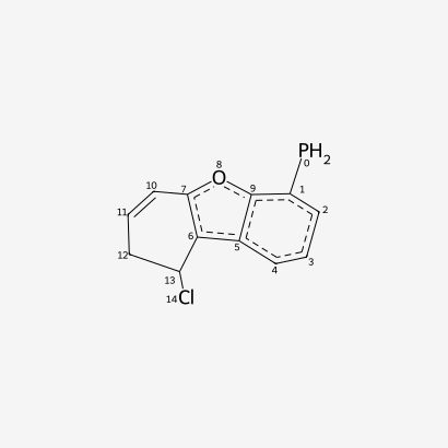 Pc1cccc2c3c(oc12)C=CCC3Cl